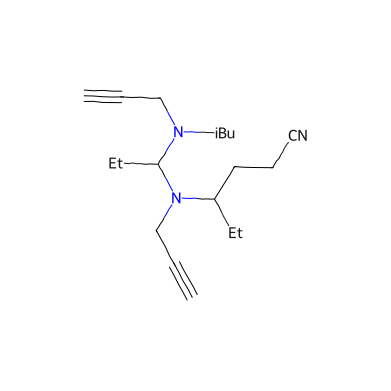 C#CCN(C(C)CC)C(CC)N(CC#C)C(CC)CCC#N